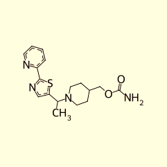 CC(c1cnc(-c2ccccn2)s1)N1CCC(COC(N)=O)CC1